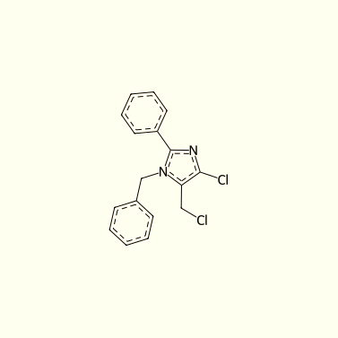 ClCc1c(Cl)nc(-c2ccccc2)n1Cc1ccccc1